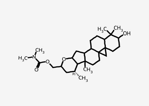 C[C@@H]1CC(COC(=O)N(C)C)OC2CC3C4CCC5C(C)(C)C(O)CCC56CC46CCC3(C)C21